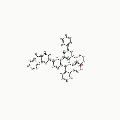 c1ccc(-c2cc(-c3ccccc3)nc(-c3cc(-c4cnc5sc6ccccc6c5c4)ccc3-c3cc4ccccc4c4ccccc34)n2)cc1